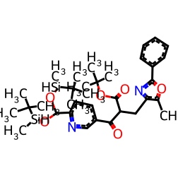 Cc1oc(-c2ccccc2)nc1CC(C(=O)OC(C)(C)C)C(=O)c1ccc(C(O[SiH](C)C(C)(C)C)O[SiH](C)C(C)(C)C)nc1